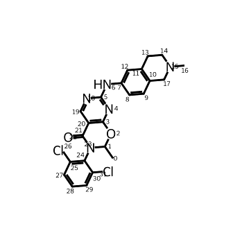 CC1Oc2nc(Nc3ccc4c(c3)CCN(C)C4)ncc2C(=O)N1c1c(Cl)cccc1Cl